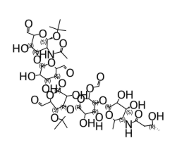 CC(=O)NC1[C@H](OC(C)(C)C)OC(C=O)[C@@H](O)[C@@H]1O[C@@H]1OC(C=O)[C@@H](O[C@@H]2OC(C=O)[C@@H](OC(C)(C)C)[C@H](O[C@@H]3OC(OC=O)[C@@H](O[C@H]4OC(C)[C@@H](NC(=O)C[C@@H](C)O)[C@H](O)C4O)[C@H](O)C3O)C2O)[C@H](O)C1O